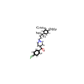 CCC(C#N)(CCCN1CCC(C(=O)c2ccc(F)cc2)CC1)c1ccc(OC)c(OC)c1